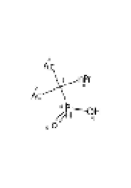 CCCC(C(C)=O)(C(C)=O)[PH](=O)O